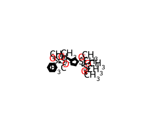 CO[Si](C)(C[Si](C)(OC)C1C=CC(C[Si](C[Si](C)(OC)c2ccccc2)(OC)OC)=C1)OC